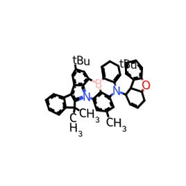 Cc1cc2c3c(c1)-n1c4c(c5cc(C(C)(C)C)cc(c51)B3C1=CCC(C(C)(C)C)C=C1N2C1C=CCC2Oc3ccccc3C21)-c1ccccc1C4(C)C